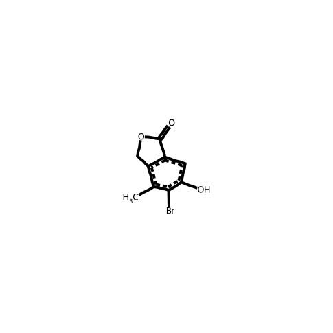 Cc1c(Br)c(O)cc2c1COC2=O